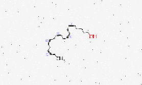 CC/C=C\C/C=C\C/C=C\C/C=C\C/C=C\CCCCO